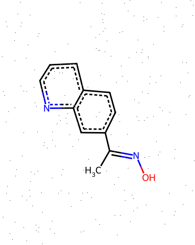 CC(=NO)c1ccc2cccnc2c1